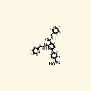 O=C(O)c1ccc(-c2ccc(C(=O)NCc3cccnc3)c(NCCc3ccccn3)n2)cc1